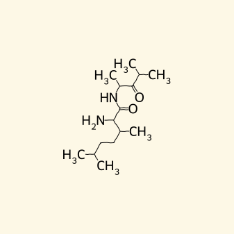 CC(C)CCC(C)C(N)C(=O)NC(C)C(=O)C(C)C